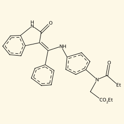 CCOC(=O)CN(C(=O)CC)c1ccc(N/C(=C2\C(=O)Nc3ccccc32)c2ccccc2)cc1